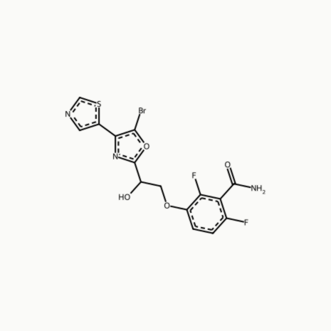 NC(=O)c1c(F)ccc(OCC(O)c2nc(-c3cncs3)c(Br)o2)c1F